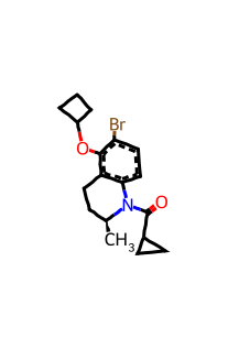 C[C@H]1CCc2c(ccc(Br)c2OC2CCC2)N1C(=O)C1CC1